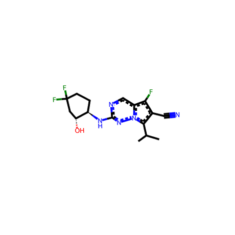 CC(C)c1c(C#N)c(F)c2cnc(N[C@@H]3CCC(F)(F)C[C@H]3O)nn12